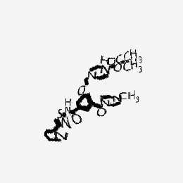 CN1CCN(C(=O)c2cc(OCCN3CCN(C(=O)OC(C)(C)C)CC3)cc(C(=O)Nc3nc(-c4ccccn4)cs3)c2)CC1